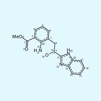 COC(=O)c1cccc(C[S+]([O-])c2nc3ccccc3[nH]2)c1N